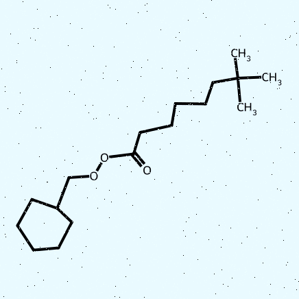 CC(C)(C)CCCCCC(=O)OOCC1CCCCC1